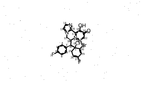 CC1([C@@H](c2ccc(F)cc2)[C@H]2Cn3ccnc3-c3c(O)c(=O)cnn32)CC=C(F)C=C1Br